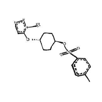 CCn1nncc1O[C@H]1CC[C@H](OS(=O)(=O)c2ccc(C)cc2)CC1